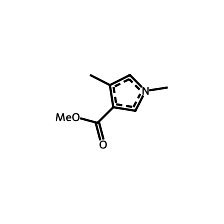 COC(=O)c1cn(C)cc1C